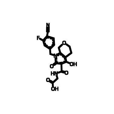 N#Cc1ccc(Cn2c3c(c(O)c(C(=O)NCC(=O)O)c2=O)CCOC3)cc1F